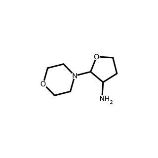 NC1CCOC1N1CCOCC1